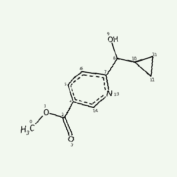 COC(=O)c1ccc(C(O)C2CC2)nc1